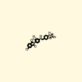 Cc1cc(NCC2CCC(NS(=O)(=O)C(C)C)CC2)ccc1N1C(=O)c2ccc(Cl)cc2C1=O